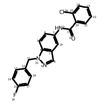 O=C(Nc1ccc2c(cnn2Cc2ccc(F)cc2)c1)c1ccccc1Cl